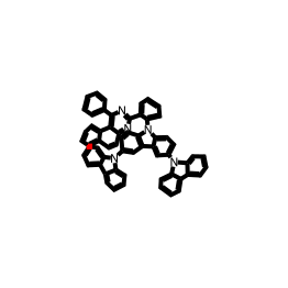 c1ccc(-c2nc(-c3ccccc3-n3c4ccc(-n5c6ccccc6c6ccccc65)cc4c4cc(-n5c6ccccc6c6ccccc65)ccc43)nc3ccc4ccccc4c23)cc1